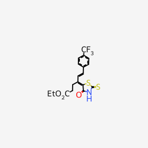 CCOC(=O)CCC(C=Cc1ccc(C(F)(F)F)cc1)=C1SC(=S)NC1=O